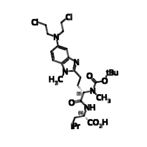 CC(C)C[C@H](NC(=O)[C@H](CCc1nc2cc(N(CCCl)CCCl)ccc2n1C)N(C)C(=O)OC(C)(C)C)C(=O)O